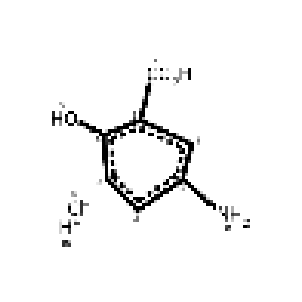 Nc1ccc(O)c(C(=O)O)c1.[Cl-].[H+]